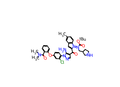 Cc1ccc2c(c1)cc(C(=O)c1cnn(-c3ccc(Oc4ccccc4C(=O)N(C)C)cc3Cl)c1N)n2N(CC1CCNC1)C(=O)OC(C)(C)C